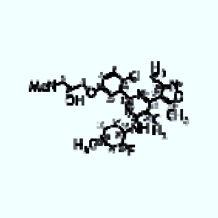 CNC[C@@H](O)COc1ccc(Cl)c(-c2nc(N[C@@H]3CCN(C)C[C@@H]3F)c(C)c(-c3c(C)noc3C)n2)c1